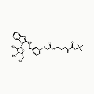 CC(C)(C)OC(=O)NCCCNC(=O)COc1cccc(CNc2nc3ccccc3n2[C@@H]2O[C@H](CO)[C@@H](O)[C@H]2O)c1